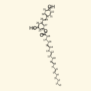 CCCCCC=CCC=CCC=CCC=CCCCC(=O)Oc1cc(O)cc(C=Cc2ccc(O)cc2)c1